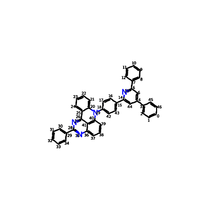 c1ccc(-c2cc(-c3ccccc3)nc(-c3ccc(N4c5ccccc5-c5nc(-c6ccccc6)nc6cccc4c56)cc3)c2)cc1